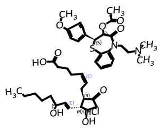 CCCCC[C@H](O)/C=C/[C@H]1[C@H](O)CC(=O)[C@@H]1C/C=C\CCCC(=O)O.COc1ccc([C@@H]2Sc3ccccc3N(CCN(C)C)C(=O)[C@@H]2OC(C)=O)cc1.Cl